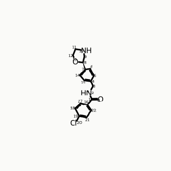 O=C(NCc1ccc([C@@H]2CNCCO2)cc1)c1ccc(Cl)cc1